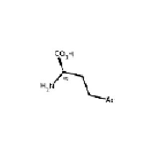 CC(=O)CC[C@@H](N)C(=O)O